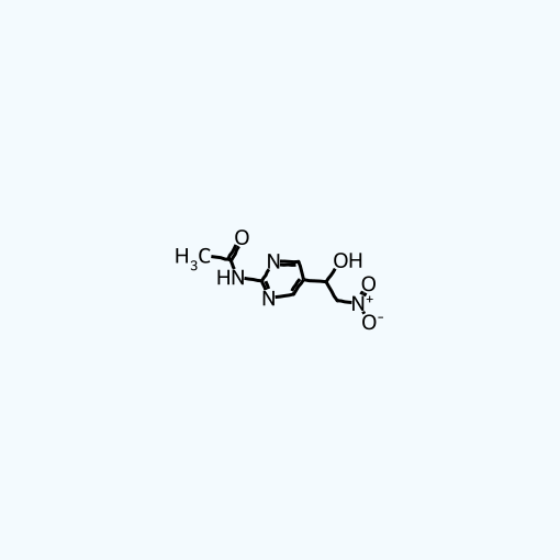 CC(=O)Nc1ncc(C(O)C[N+](=O)[O-])cn1